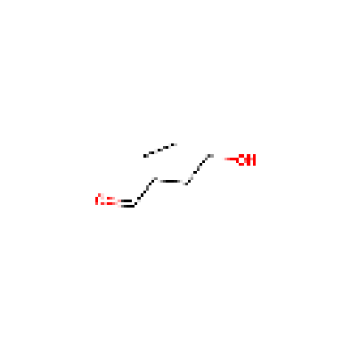 CC.O=CCCCO